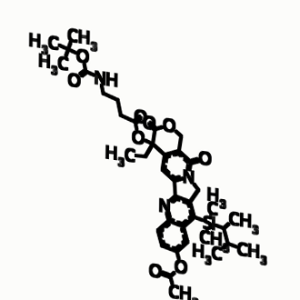 CCC1(OC(=O)CCCNC(=O)OC(C)(C)C)C(=O)OCc2c1cc1n(c2=O)Cc2c-1nc1ccc(OC(C)=O)cc1c2[Si](C)(C)C(C)C(C)C